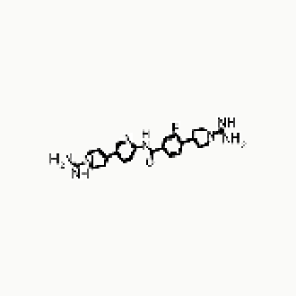 N=C(N)N1CC=C(c2ccc(NC(=O)c3ccc(C4=CCN(C(=N)N)CC4)c(F)c3)nc2)CC1